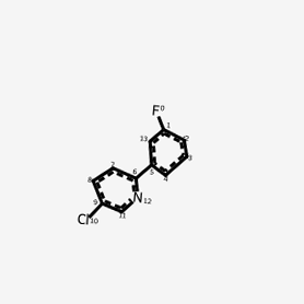 Fc1[c]ccc(-c2ccc(Cl)cn2)c1